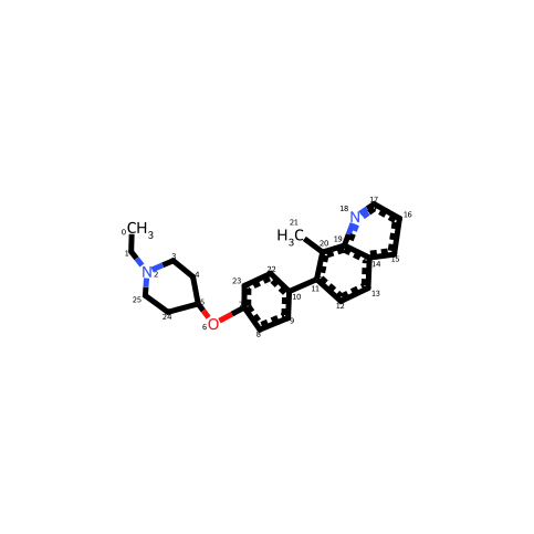 CCN1CCC(Oc2ccc(-c3ccc4cccnc4c3C)cc2)CC1